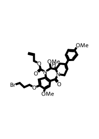 C=CCOC(=O)N1c2cc(OCCCBr)c(OC)cc2C(=O)N2CC=C(c3ccc(OC)cc3)C[C@H]2C1OC